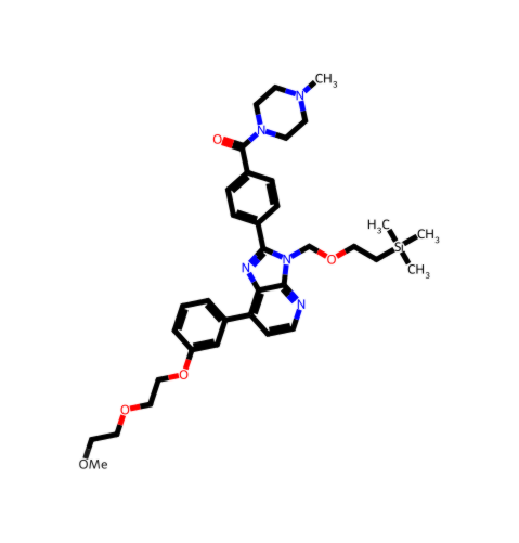 COCCOCCOc1cccc(-c2ccnc3c2nc(-c2ccc(C(=O)N4CCN(C)CC4)cc2)n3COCC[Si](C)(C)C)c1